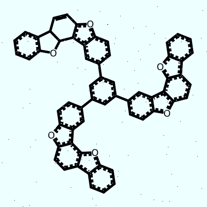 C1=CC2c3ccccc3OC2c2c1oc1ccc(-c3cc(-c4ccc5oc6ccc7c8ccccc8oc7c6c5c4)cc(-c4ccc5oc6ccc7c8ccccc8oc7c6c5c4)c3)cc21